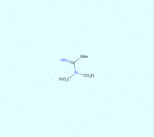 CCOC(=O)N(C(=N)SC)C(=O)OCC